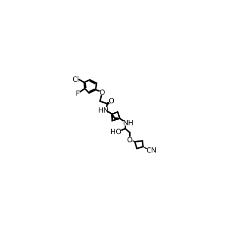 N#C[C@H]1C[C@@H](OCC(O)NC23CC(NC(=O)COc4ccc(Cl)c(F)c4)(C2)C3)C1